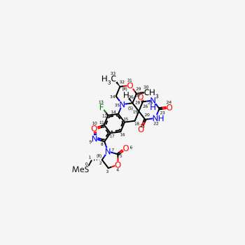 CSC[C@H]1COC(=O)N1c1noc2c(F)c3c(cc12)CC1(C(=O)NC(=O)NC1=O)[C@H]1[C@H](C)O[C@H](C)CN31